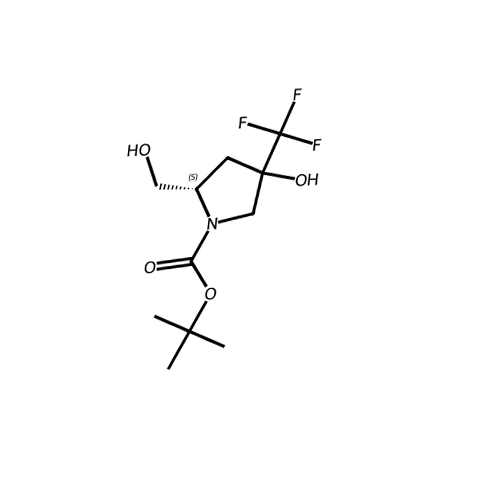 CC(C)(C)OC(=O)N1CC(O)(C(F)(F)F)C[C@H]1CO